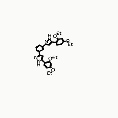 CCOc1ccc(-c2cc(-c3cccc(-c4cc(-c5ccc(OCC)cc5OCC)[nH]n4)c3)n[nH]2)c(OCC)c1